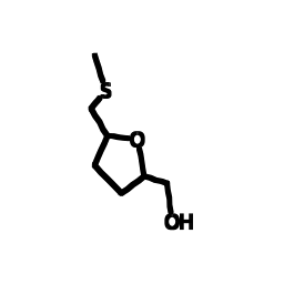 CSCC1CCC(CO)O1